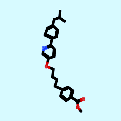 COC(=O)c1ccc(CCCCOc2ccc(-c3ccc(CC(C)C)cc3)nc2)cc1